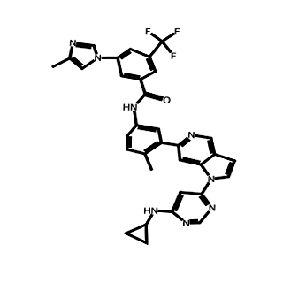 Cc1cn(-c2cc(C(=O)Nc3ccc(C)c(-c4cc5c(ccn5-c5cc(NC6CC6)ncn5)cn4)c3)cc(C(F)(F)F)c2)cn1